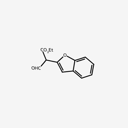 CCOC(=O)C(C=O)c1cc2ccccc2o1